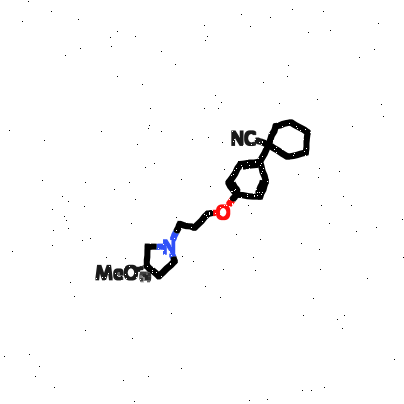 CO[C@H]1CCN(CCCOc2ccc(C3(C#N)CCCCC3)cc2)C1